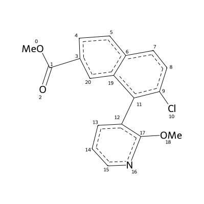 COC(=O)c1ccc2ccc(Cl)c(-c3cccnc3OC)c2c1